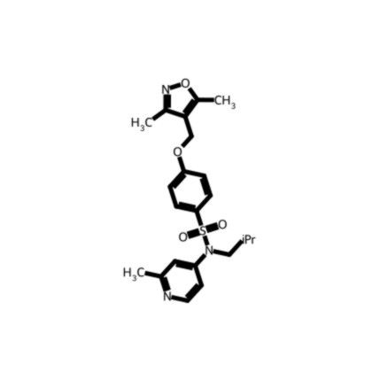 Cc1cc(N(CC(C)C)S(=O)(=O)c2ccc(OCc3c(C)noc3C)cc2)ccn1